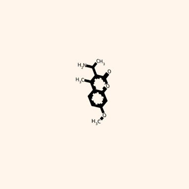 COc1ccc2c(C)c(C(C)N)c(=O)oc2c1